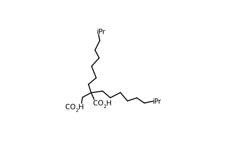 CC(C)CCCCCCC(CCCCCCC(C)C)(CC(=O)O)C(=O)O